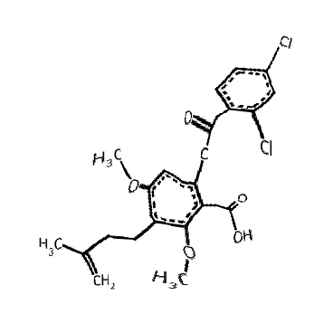 C=C(C)CCc1c(OC)cc(CC(=O)c2ccc(Cl)cc2Cl)c(C(=O)O)c1OC